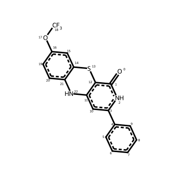 O=c1[nH]c(-c2ccccc2)cc2c1Sc1cc(OC(F)(F)F)ccc1N2